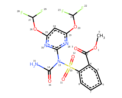 COC(=O)c1ccccc1S(=O)(=O)N(C(N)=O)c1nc(OC(F)F)cc(OC(F)F)n1